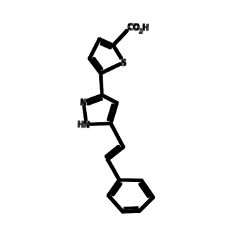 O=C(O)c1ccc(-c2cc(C=Cc3ccccc3)[nH]n2)s1